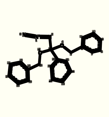 [N-]=[N+]=NC(OCc1ccccc1)(OCc1ccccc1)c1ccccc1